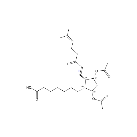 CC(=O)O[C@H]1C[C@@H](OC(C)=O)[C@H](/C=C/C(=O)CCC=C(C)C)[C@H]1CCCCCCC(=O)O